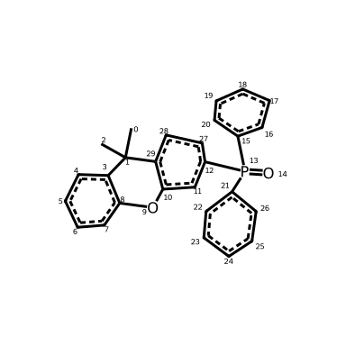 CC1(C)c2ccccc2Oc2cc(P(=O)(c3ccccc3)c3ccccc3)ccc21